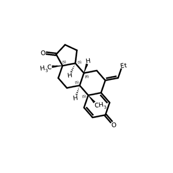 CCC=C1C[C@@H]2[C@H](CC[C@]3(C)C(=O)CC[C@@H]23)[C@@]2(C)C=CC(=O)C=C12